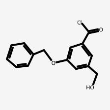 O=C(Cl)c1cc(CO)cc(OCc2ccccc2)c1